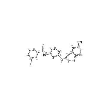 N#Cc1cnc2ccc(Oc3cccc(NC(=O)c4cccc(F)c4)c3)cc2n1